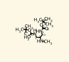 CNC(CNC(=O)OC(C)(C)C)CNC(=O)OC(C)(C)C